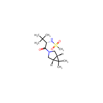 CC(C)(C)[C@H](NS(C)(=O)=O)C(=O)N1C[C@@H]2[C@H](C1)C2(C)C